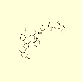 CC(C)(C)[C@H](c1nn(-c2cc(F)ccc2F)cc1Cc1ccccc1)N(CC[C@H](N)C(=O)N[C@@H]1CC[C@H](C(=O)NCCN2C(=O)C=CC2=O)C1)C(=O)CO